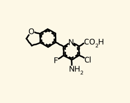 Nc1c(F)c(-c2ccc3c(c2)CCO3)nc(C(=O)O)c1Cl